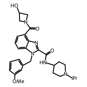 COc1cccc(Cn2c(C(=O)NC3CCN(C(C)C)CC3)nc3c(C(=O)N4CC(O)C4)cccc32)c1